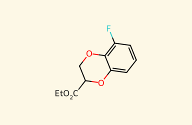 CCOC(=O)C1COc2c(F)cccc2O1